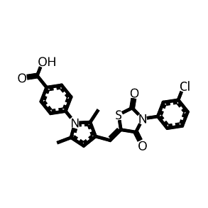 Cc1cc(C=C2SC(=O)N(c3cccc(Cl)c3)C2=O)c(C)n1-c1ccc(C(=O)O)cc1